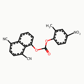 Cc1cc([N+](=O)[O-])ccc1OC(=O)Oc1cccc2c(C#N)ccc(C#N)c12